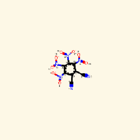 N#Cc1c(C#N)c([N+](=O)[O-])c([N+](=O)[O-])c([N+](=O)[O-])c1[N+](=O)[O-]